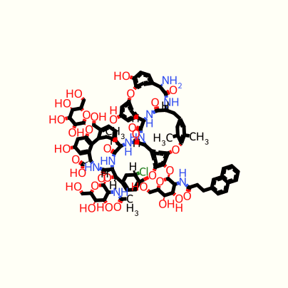 CC(=O)NC1C(O)[C@H](O)C(CO)O[C@H]1O[C@@H]1C2=CC=C(Oc3cc4cc(c3O[C@@H]3OC(CO)[C@@H](O)C(O)C3NC(=O)CCc3ccc5ccccc5c3)OC3=C(C)C=C(CC3C)C[C@H]3NC(=O)[C@H](N)c5ccc(O)c(c5)Oc5cc(O)cc(c5)[C@H](NC3=O)C(=O)N[C@H]4C(=O)N[C@H]3C(=O)N[C@@H]1C(=O)N[C@H](C(=O)O)C1=CC(O)CC(O[C@H]4OC(CO)[C@@H](O)C(O)C4O)=C1C1C(CO)=CC=C3C1C)[C@@H](Cl)C2